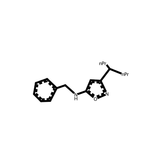 CCCC(CCC)c1cc(NCc2ccccc2)on1